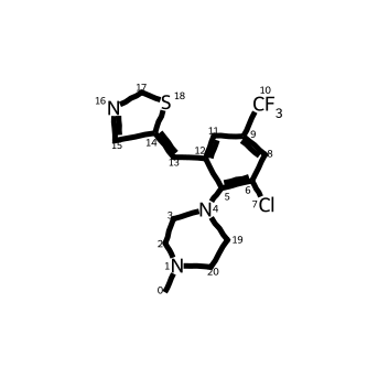 CN1CCN(c2c(Cl)cc(C(F)(F)F)cc2C=C2C=NCS2)CC1